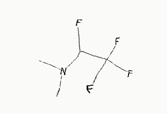 CN(C)C(F)C(F)(F)F